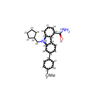 COc1ccc(-c2c[c]c3c4c(C(N)=O)cccc4n(CC4CCCC4)c3c2)cc1